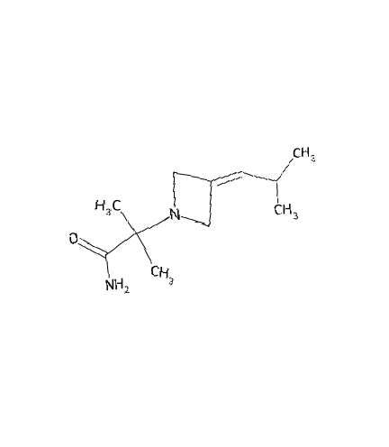 CC(C)C=C1CN(C(C)(C)C(N)=O)C1